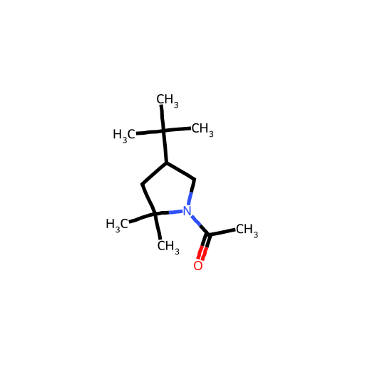 CC(=O)N1CC(C(C)(C)C)CC1(C)C